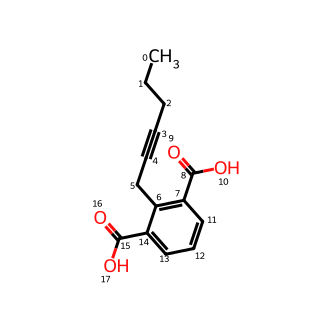 CCCC#CCc1c(C(=O)O)cccc1C(=O)O